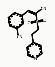 N#CC(=Cc1cccc(C#N)c1)S(=O)(=O)CCc1ccncc1